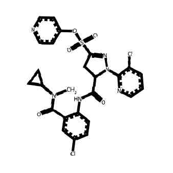 CN(C(=O)c1cc(Cl)ccc1NC(=O)C1CC(S(=O)(=O)Oc2ccncc2)=NN1c1ncccc1Cl)C1CC1